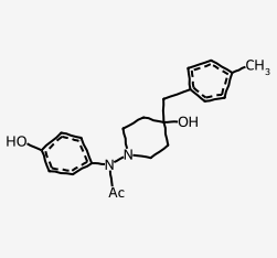 CC(=O)N(c1ccc(O)cc1)N1CCC(O)(Cc2ccc(C)cc2)CC1